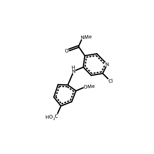 CNC(=O)c1cnc(Cl)cc1Nc1ccc(C(=O)O)cc1OC